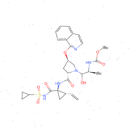 C=C[C@@H]1C[C@]1(NC(=O)[C@@H]1C[C@@H](Oc2nccc3ccccc23)CN1C(O)[C@@H](NC(=O)OC(C)(C)C)C(C)(C)C)C(=O)NS(=O)(=O)C1CC1